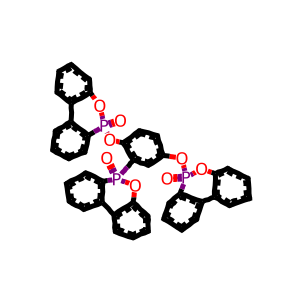 O=P1(Oc2ccc(OP3(=O)Oc4ccccc4-c4ccccc43)c(P3(=O)Oc4ccccc4-c4ccccc43)c2)Oc2ccccc2-c2ccccc21